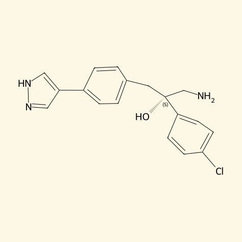 NC[C@](O)(Cc1ccc(-c2cn[nH]c2)cc1)c1ccc(Cl)cc1